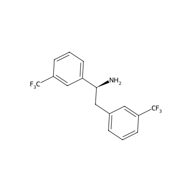 N[C@@H](Cc1cccc(C(F)(F)F)c1)c1cccc(C(F)(F)F)c1